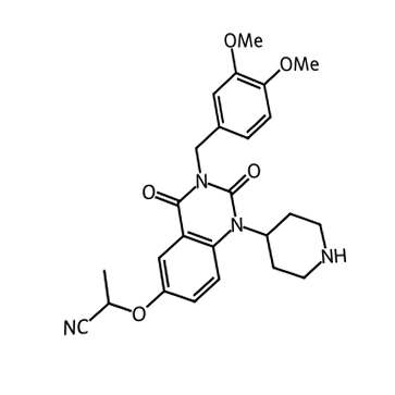 COc1ccc(Cn2c(=O)c3cc(OC(C)C#N)ccc3n(C3CCNCC3)c2=O)cc1OC